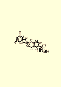 CN1CC(F)CC2(CC(N3CCc4cc(C(=O)NO)cnc4C3)C2)C1